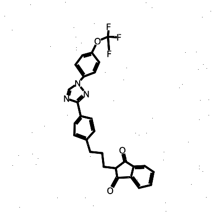 O=C1c2ccccc2C(=O)C1CCCc1ccc(-c2ncn(-c3ccc(OC(F)(F)F)cc3)n2)cc1